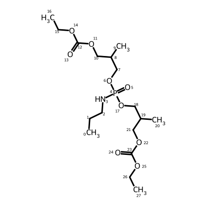 CCCNP(=O)(OCC(C)COC(=O)OCC)OCC(C)COC(=O)OCC